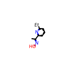 [CH2]Cc1cccc(C(C)=NO)n1